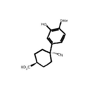 COc1ccc([C@]2(C#N)CC[C@H](C(=O)O)CC2)cc1O